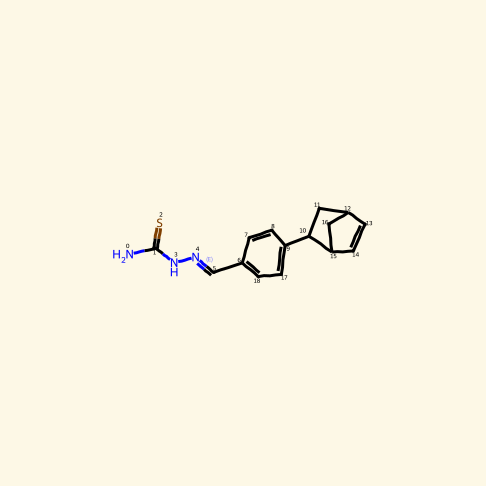 NC(=S)N/N=C/c1ccc(C2CC3C=CC2C3)cc1